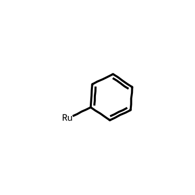 [Ru][c]1ccccc1